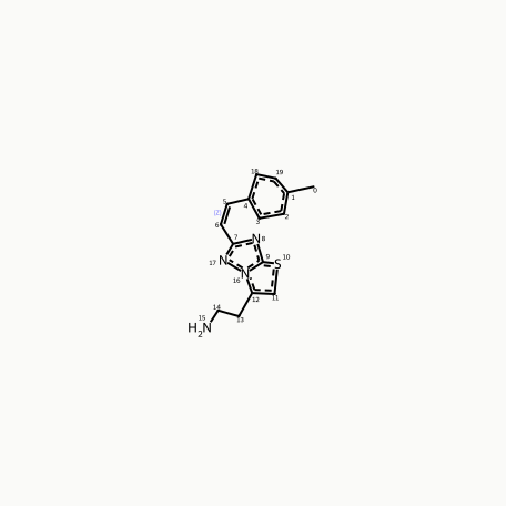 Cc1ccc(/C=C\c2nc3scc(CCN)n3n2)cc1